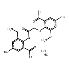 CCC(=O)c1cc(C(C)(C)C)cc(CN)c1OCC(=O)Oc1c(CN)cc(C(C)(C)C)cc1C(=O)CC.Cl.Cl